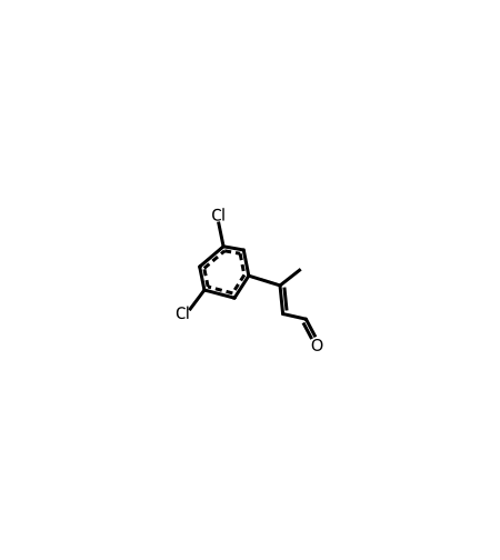 C/C(=C\C=O)c1cc(Cl)cc(Cl)c1